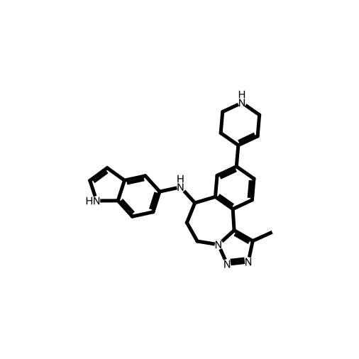 Cc1nnn2c1-c1ccc(C3=CCNCC3)cc1C(Nc1ccc3[nH]ccc3c1)CC2